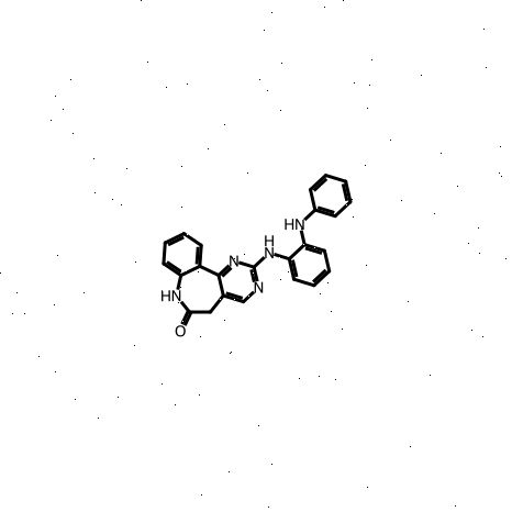 O=C1Cc2cnc(Nc3ccccc3Nc3ccccc3)nc2-c2ccccc2N1